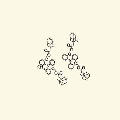 C.CC1C2CC3CC(C2)CC1(CC(=O)OCOc1ccccc1[S+](c1ccccc1)c1ccccc1OCOC(=O)CC12CC4CC(CC(C4)C1C)C2)C3.CC1C2CC3CC(C2)CC1(CC(=O)OCOc1ccccc1[S+](c1ccccc1)c1ccccc1OCOC(=O)CC12CC4CC(CC(C4)C1C)C2)C3